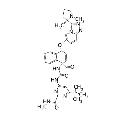 CNC(=O)c1nc(NC(=O)N[C@@]2(C=O)C=C[C@@H](Oc3ccc4nnc([C@]5(C)CCCN5C)n4c3)c3ccccc32)cc(C(C)(C)C)n1